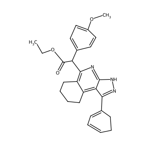 CCOC(=O)C(c1ccc(OC)cc1)c1nc2[nH]nc(C3=CC=CCC3)c2c2c1CCCC2